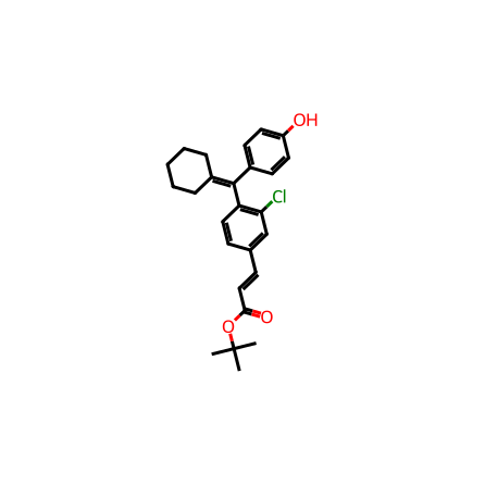 CC(C)(C)OC(=O)C=Cc1ccc(C(=C2CCCCC2)c2ccc(O)cc2)c(Cl)c1